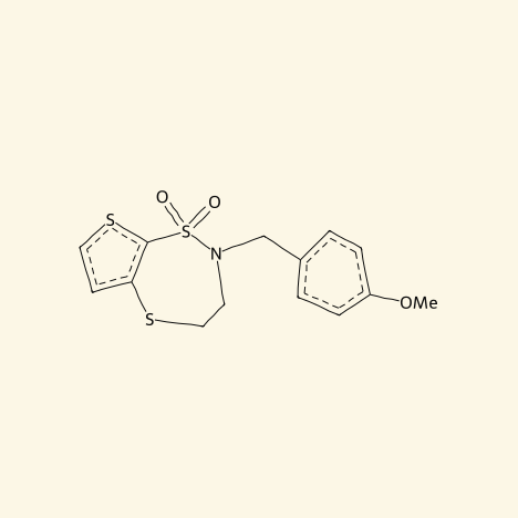 COc1ccc(CN2CCSc3ccsc3S2(=O)=O)cc1